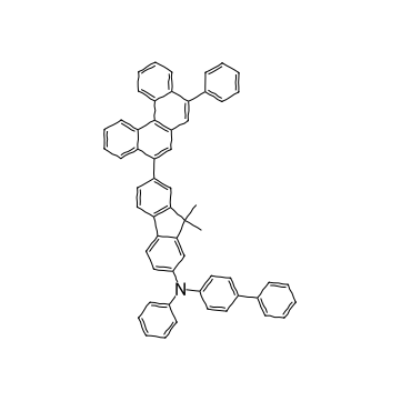 CC1(C)c2cc(-c3cc4cc(-c5ccccc5)c5ccccc5c4c4ccccc34)ccc2-c2ccc(N(c3ccccc3)c3ccc(-c4ccccc4)cc3)cc21